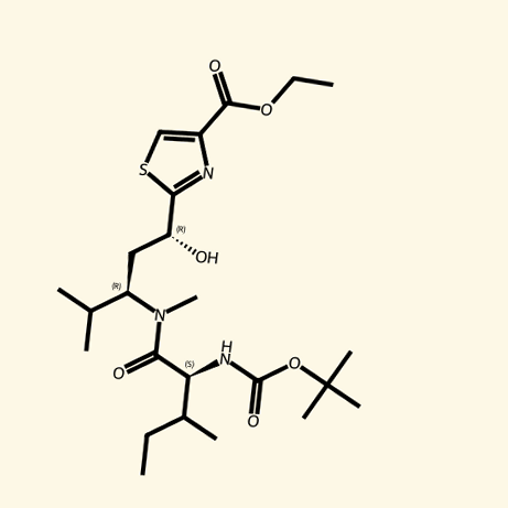 CCOC(=O)c1csc([C@H](O)C[C@H](C(C)C)N(C)C(=O)[C@@H](NC(=O)OC(C)(C)C)C(C)CC)n1